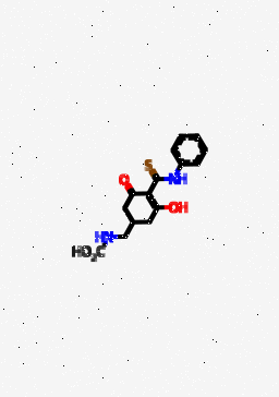 O=C(O)NCC1CC(=O)C(C(=S)Nc2ccccc2)=C(O)C1